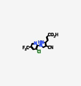 N#CC1=C(C=CC(=O)O)NN(c2ncc(C(F)(F)F)cc2Cl)C1